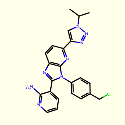 CC(C)n1cc(-c2ccc3nc(-c4cccnc4N)n(-c4ccc(CCl)cc4)c3n2)nn1